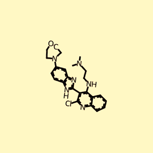 CN(C)CCNc1c(-c2nc3cc(N4CCOCC4)ccc3[nH]2)c(Cl)nc2ccccc12